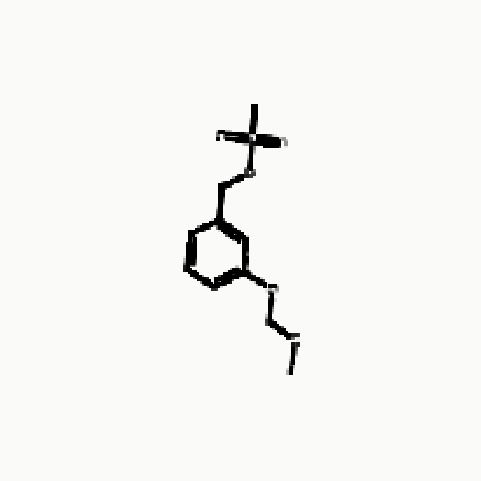 COCOc1cccc(COS(C)(=O)=O)c1